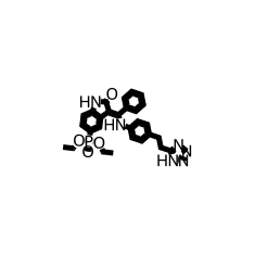 CCOP(=O)(OCC)c1ccc2c(c1)C(=C(Nc1ccc(CCc3nnn[nH]3)cc1)c1ccccc1)C(=O)N2